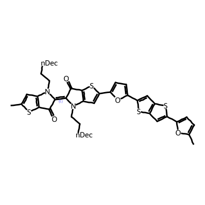 CCCCCCCCCCCCN1/C(=C2\C(=O)c3sc(-c4ccc(-c5cc6sc(-c7ccc(C)o7)cc6s5)o4)cc3N2CCCCCCCCCCCC)C(=O)c2sc(C)cc21